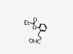 CCC(=O)Oc1ccccc1CCC=O